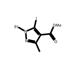 CCn1nc(C)c(C(=O)OC)c1I